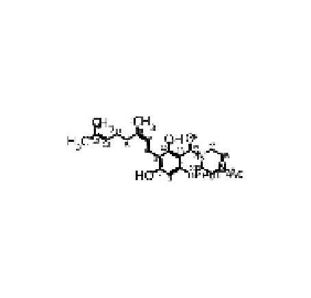 CCCCCc1cc(O)c(CC=C(C)CCC=C(C)C)c(O)c1C(=O)N1CCN(C(C)=O)CC1